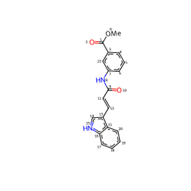 COC(=O)c1cccc(NC(=O)/C=C/c2c[nH]c3ccccc23)c1